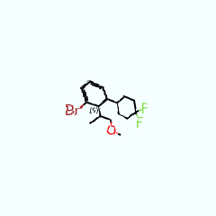 COCC(C)[C@H]1C(Br)=CC=CC1C1CCC(F)(F)CC1